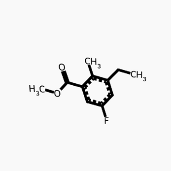 CCc1cc(F)cc(C(=O)OC)c1C